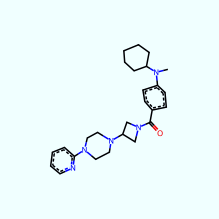 CN(c1ccc(C(=O)N2CC(N3CCN(c4ccccn4)CC3)C2)cc1)C1CCCCC1